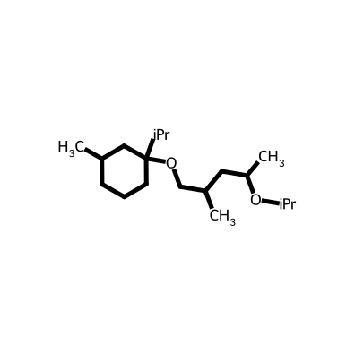 CC(COC1(C(C)C)CCCC(C)C1)CC(C)OC(C)C